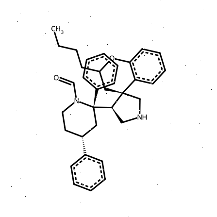 CCCCC1C[C@]2(CNC[C@H]2[C@]2(c3ccccc3)C[C@H](c3ccccc3)CCN2C=O)c2ccccc2O1